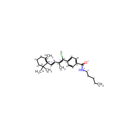 CCCCCNC(=O)c1ccc(/C(F)=C(C)/C=C/C2=C(C)CCCC2(C)C)cc1